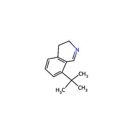 CC(C)(C)c1cccc2c1C=NCC2